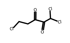 O=C(CCCl)C(=O)C(Cl)Cl